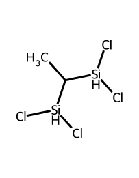 CC([SiH](Cl)Cl)[SiH](Cl)Cl